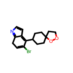 BrC1=CCC2=NC=CC2=C1C1CCC2(CCOO2)CC1